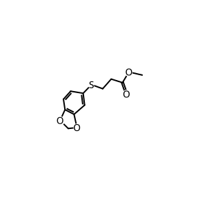 COC(=O)CCSc1ccc2c(c1)OCO2